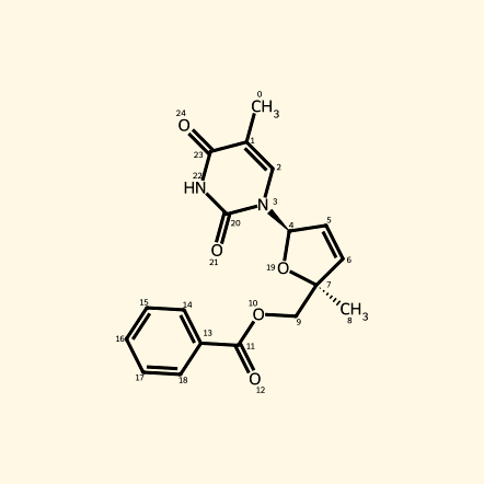 Cc1cn([C@H]2C=C[C@@](C)(COC(=O)c3ccccc3)O2)c(=O)[nH]c1=O